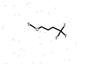 FC(F)(F)CCC[O][Ti]